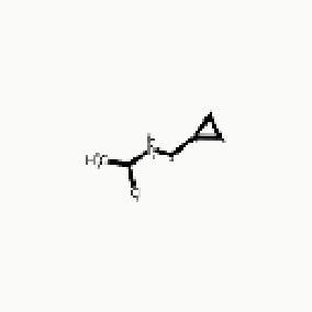 CC(Cl)NCC1CC1